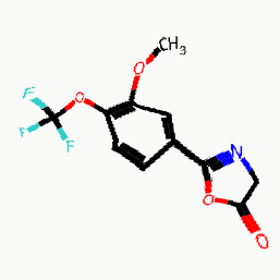 COc1cc(C2=NCC(=O)O2)ccc1OC(F)(F)F